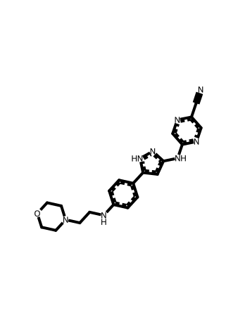 N#Cc1cnc(Nc2cc(-c3ccc(NCCN4CCOCC4)cc3)[nH]n2)cn1